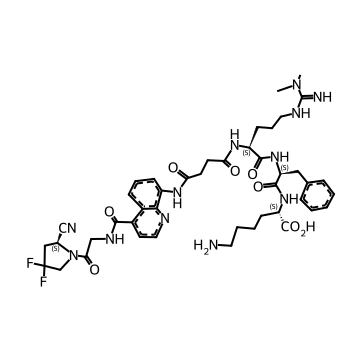 CN(C)C(=N)NCCC[C@H](NC(=O)CCC(=O)Nc1cccc2c(C(=O)NCC(=O)N3CC(F)(F)C[C@H]3C#N)ccnc12)C(=O)N[C@@H](Cc1ccccc1)C(=O)N[C@@H](CCCCN)C(=O)O